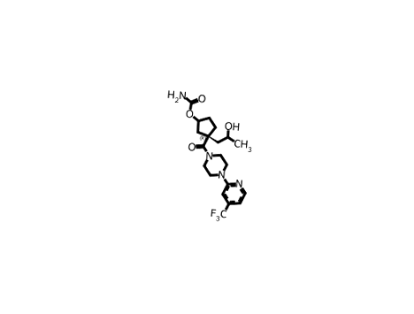 CC(O)C[C@]1(C(=O)N2CCN(c3cc(C(F)(F)F)ccn3)CC2)CCC(OC(N)=O)C1